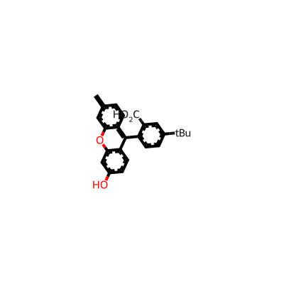 C=c1ccc2c(c1)Oc1cc(O)ccc1C=2c1ccc(C(C)(C)C)cc1C(=O)O